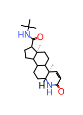 CC(C)(C)NC(=O)C1CCC2C3CC[C@H]4NC(=O)C=C[C@]4(C)C3CC[C@]12C